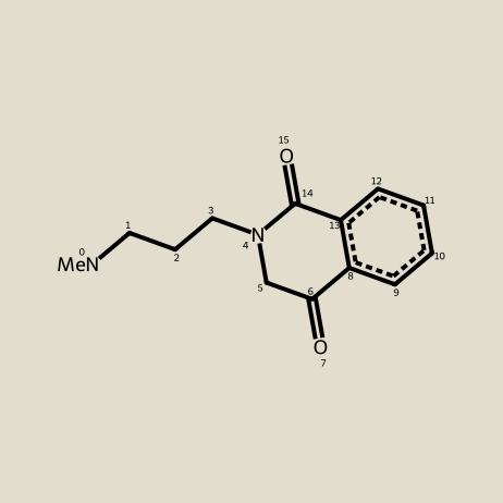 CNCCCN1CC(=O)c2ccccc2C1=O